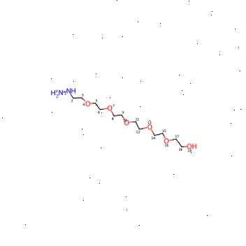 NNCCOCCOCCOCCOCCOCCO